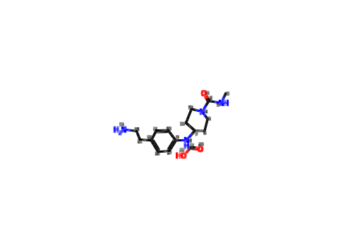 CNC(=O)N1CCC(Nc2ccc(CCN)cc2)CC1.O=CO